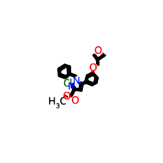 COC(=O)c1cc(-c2cccc(OCC3COC3)c2)n(Cc2ccccc2Cl)n1